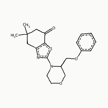 CC1(C)CC(=O)c2sc(N3CCOCC3COc3ccccc3)nc2C1